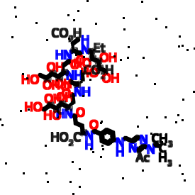 CC[C@@H](NC(=O)[C@H](CCC(=O)O)NC(=O)C[C@@H](NC(=O)[C@H](CCC(=O)O)NC(=O)C[C@@H](NC(=O)CC[C@H](NC(=O)c1ccc(NCc2cnc(N=C(C)C)c(C(C)=O)n2)cc1)C(=O)O)[C@@H](O)[C@H](O)[C@H](O)CO)[C@@H](O)[C@H](O)[C@H](O)CO)[C@@H](O)[C@H](O)[C@H](O)CO